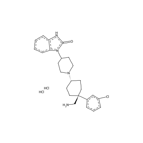 Cl.Cl.NC[C@]1(c2cccc(Cl)c2)CC[C@@H](N2CCC(n3c(=O)[nH]c4ccccc43)CC2)CC1